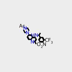 CC(=O)N1CCN(c2ccc3nc(C)cc(NC(C)c4cc([N+](=O)[O-])cc(C(F)(F)F)c4)c3c2)CC1